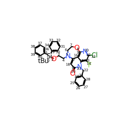 CC(C)(C)[Si](OCCN1CCOc2nc(Cl)c(F)c3c2c1cc(=O)n3Cc1ccccc1)(c1ccccc1)c1ccccc1